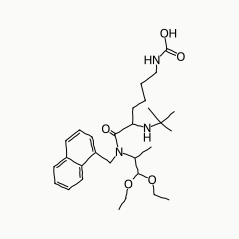 CCOC(OCC)C(C)N(Cc1cccc2ccccc12)C(=O)C(CCCCNC(=O)O)NC(C)(C)C